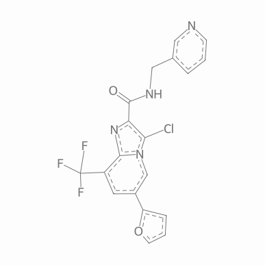 O=C(NCc1cccnc1)c1nc2c(C(F)(F)F)cc(-c3ccco3)cn2c1Cl